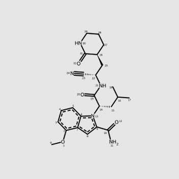 COc1cccc2c1cc(C(N)=O)n2[C@@H](CC(C)C)C(=O)N[C@H](C#N)C[C@@H]1CCCNC1=O